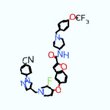 N#Cc1ccc(-n2cc(CN3CCC(Oc4ccc5oc(C(=O)NC6CCN(Cc7ccc(OC(F)(F)F)cc7)CC6)cc5c4)C(F)C3)cn2)cc1